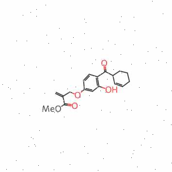 C=C(COc1ccc(C(=O)C2C=CCCC2)c(O)c1)C(=O)OC